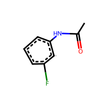 CC(=O)Nc1[c]c(F)ccc1